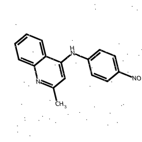 Cc1cc(Nc2ccc(N=O)cc2)c2ccccc2n1